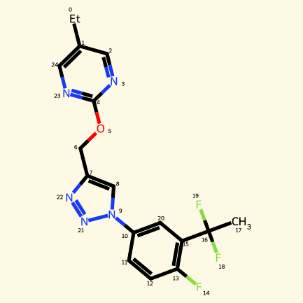 CCc1cnc(OCc2cn(-c3ccc(F)c(C(C)(F)F)c3)nn2)nc1